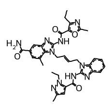 CCc1nc(C)oc1C(=O)Nc1nc2cc(C(N)=O)cc(C)c2n1C/C=C/Cn1c(NC(=O)c2cc(C)nn2CC)nc2ccccc21